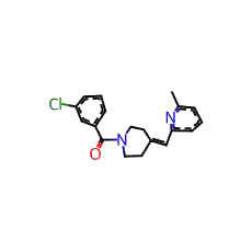 Cc1cccc(C=C2CCN(C(=O)c3cccc(Cl)c3)CC2)n1